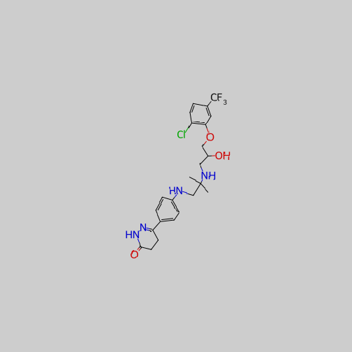 CC(C)(CNc1ccc(C2=NNC(=O)CC2)cc1)NCC(O)COc1cc(C(F)(F)F)ccc1Cl